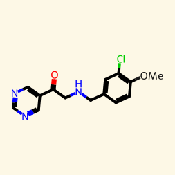 COc1ccc(CNCC(=O)c2cncnc2)cc1Cl